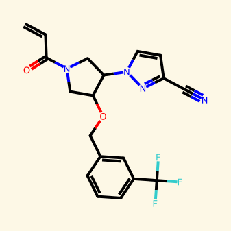 C=CC(=O)N1CC(OCc2cccc(C(F)(F)F)c2)C(n2ccc(C#N)n2)C1